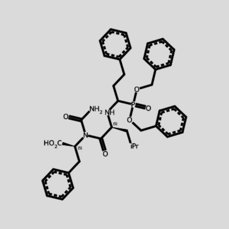 CC(C)C[C@H](NC(CCc1ccccc1)P(=O)(OCc1ccccc1)OCc1ccccc1)C(=O)N(C(N)=O)[C@@H](Cc1ccccc1)C(=O)O